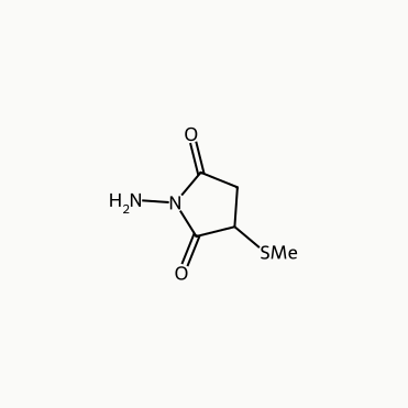 CSC1CC(=O)N(N)C1=O